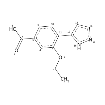 CCOc1cc(C(=O)O)ccc1-c1ccn[nH]1